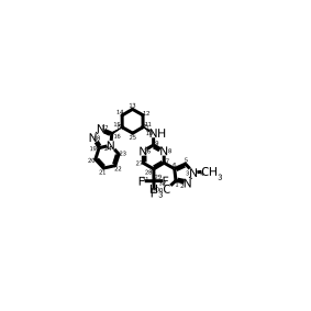 Cc1nn(C)cc1-c1nc(N[C@@H]2CCC[C@H](c3nnc4ccccn34)C2)ncc1C(F)(F)F